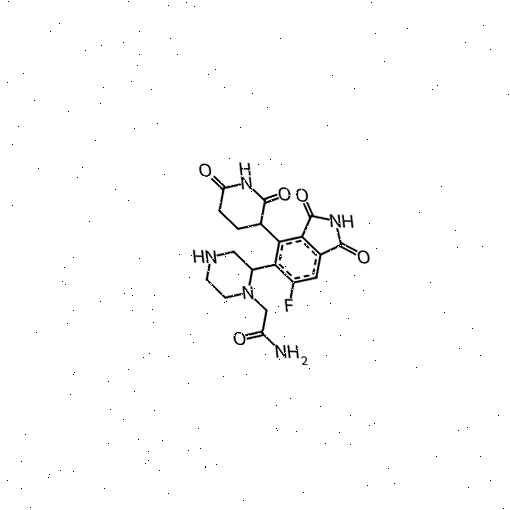 NC(=O)CN1CCNCC1c1c(F)cc2c(c1C1CCC(=O)NC1=O)C(=O)NC2=O